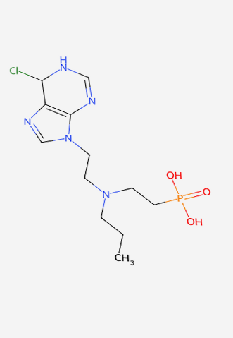 CCCN(CCn1cnc2c1N=CNC2Cl)CCP(=O)(O)O